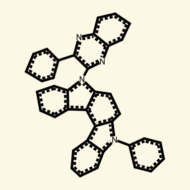 c1ccc(-c2nc3ccccc3nc2-n2c3ccccc3c3c4c5ccccc5n(-c5ccccc5)c4ccc32)cc1